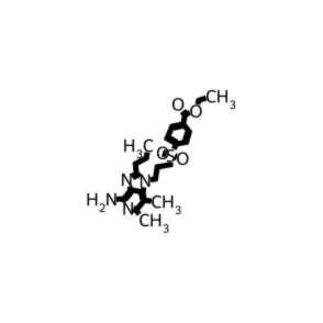 CCCc1nc2c(N)nc(C)c(C)c2n1CCCS(=O)(=O)c1ccc(C(=O)OCC)cc1